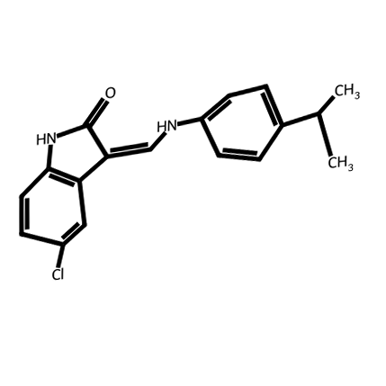 CC(C)c1ccc(NC=C2C(=O)Nc3ccc(Cl)cc32)cc1